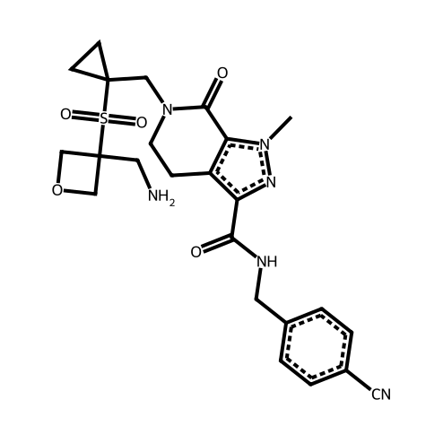 Cn1nc(C(=O)NCc2ccc(C#N)cc2)c2c1C(=O)N(CC1(S(=O)(=O)C3(CN)COC3)CC1)CC2